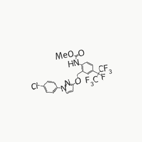 COC(=O)Nc1ccc(C(F)(C(F)(F)F)C(F)(F)F)cc1COc1ccn(-c2ccc(Cl)cc2)n1